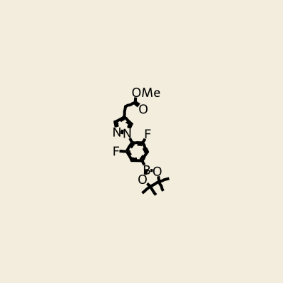 COC(=O)Cc1cnn(-c2c(F)cc(B3OC(C)(C)C(C)(C)O3)cc2F)c1